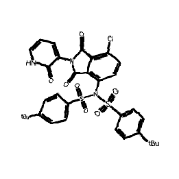 CC(C)(C)c1ccc(S(=O)(=O)N(c2ccc(Cl)c3c2C(=O)N(c2ccc[nH]c2=O)C3=O)S(=O)(=O)c2ccc(C(C)(C)C)cc2)cc1